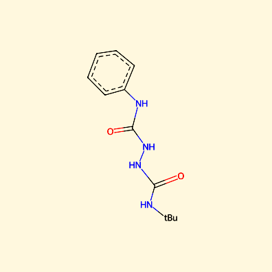 CC(C)(C)NC(=O)NNC(=O)Nc1ccccc1